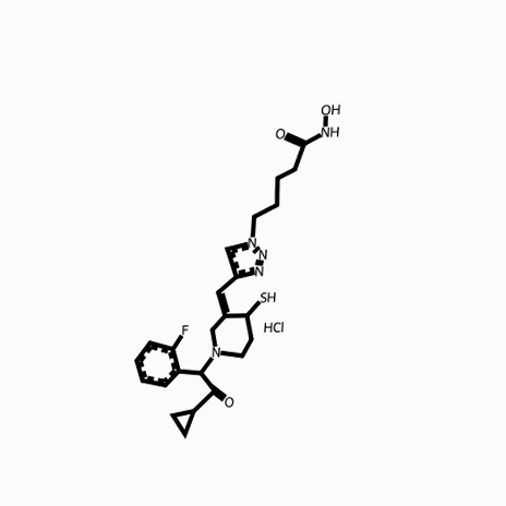 Cl.O=C(CCCCn1cc(/C=C2/CN(C(C(=O)C3CC3)c3ccccc3F)CCC2S)nn1)NO